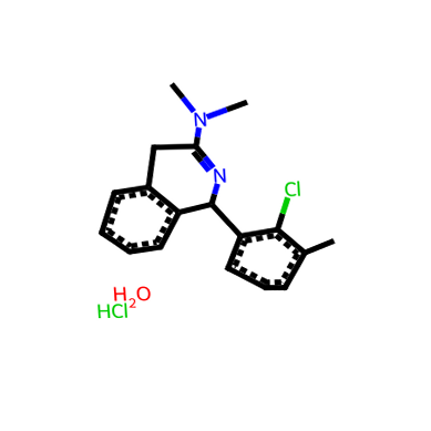 Cc1cccc(C2N=C(N(C)C)Cc3ccccc32)c1Cl.Cl.O